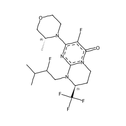 CC(C)C(F)CN1c2nc(N3CCOC[C@H]3C)c(F)c(=O)n2CC[C@H]1C(F)(F)F